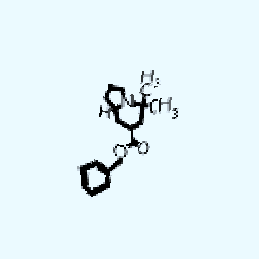 CC1(C)C[C@@H](C(=O)OCc2ccccc2)C[C@@H]2CCCN21